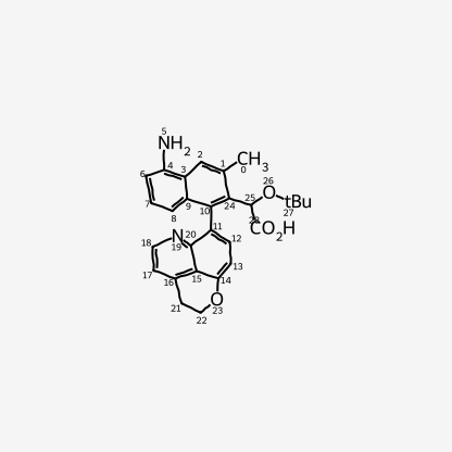 Cc1cc2c(N)cccc2c(-c2ccc3c4c(ccnc24)CCO3)c1C(OC(C)(C)C)C(=O)O